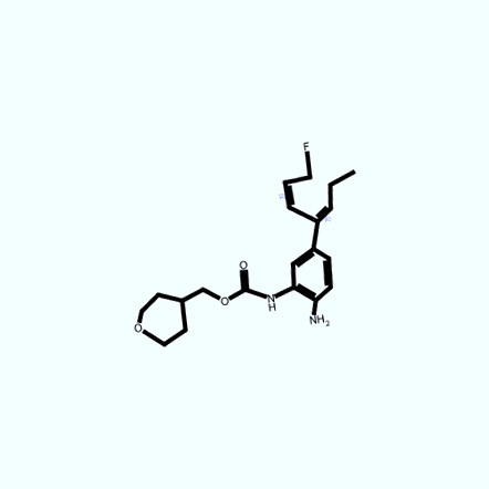 CC/C=C(\C=C/CF)c1ccc(N)c(NC(=O)OCC2CCOCC2)c1